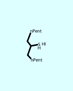 CCCCCCC(S)CCCCCC.I